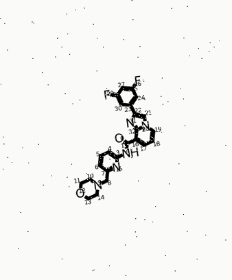 O=C(Nc1cccc(CN2CCOCC2)n1)c1cccn2cc(-c3cc(F)cc(F)c3)nc12